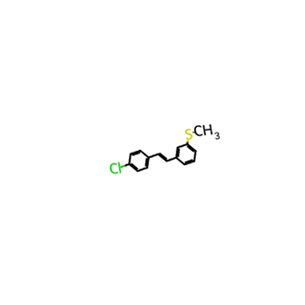 CSc1cccc(C=Cc2ccc(Cl)cc2)c1